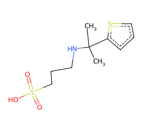 CC(C)(NCCCS(=O)(=O)O)c1cccs1